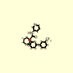 O=C(Nc1cccnc1)N1c2nc(-c3cccc(C(F)(F)F)c3)ccc2N2CCC1CC2